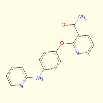 NC(=O)c1cccnc1Oc1ccc(Nc2ccccn2)cc1